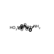 NCCOc1ccccc1CC(=O)NNC(=O)[C@@H]1CCC2CN1C(=O)N2OS(=O)(=O)O